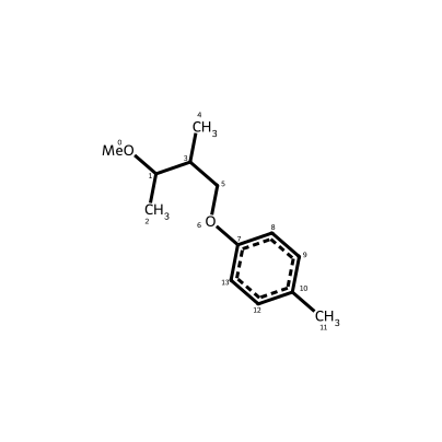 COC(C)C(C)COc1ccc(C)cc1